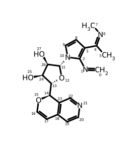 C=Nc1c(/C(C)=N\C)ccn1[C@@H]1O[C@H]([C@@H]2OC=Cc3ccncc32)[C@@H](O)[C@H]1O